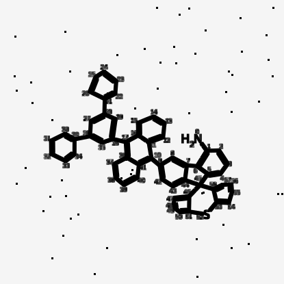 Nc1cccc2c1-c1cc(-c3c4ccccc4c(-c4cc(-c5ccccc5)cc(-c5ccccc5)c4)c4ccccc34)ccc1C21c2ccccc2Sc2ccccc21